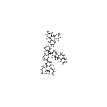 c1cc(-c2ccc3c4ccccc4c4ccccc4c3c2)cc(N(c2cccc(-c3ccc4c5ccccc5c5ccccc5c4c3)c2)c2ccc3c(c2)oc2c4ccccc4ccc32)c1